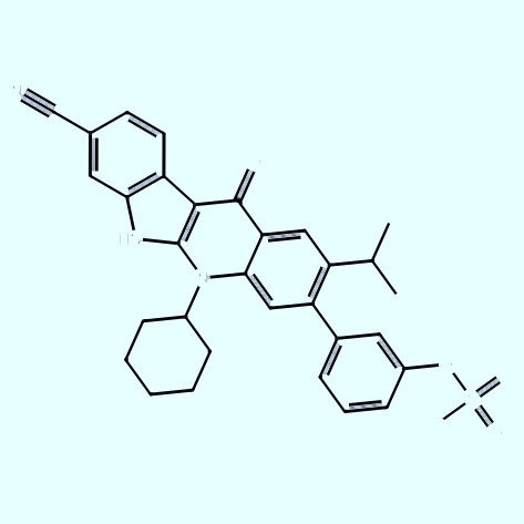 CC(C)c1cc2c(=O)c3c4ccc(C#N)cc4[nH]c3n(C3CCCCC3)c2cc1-c1cccc(OS(=O)(=O)F)c1